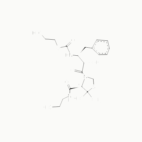 CCCNC(=O)[C@H]1N(C(=O)[C@@H](O)[C@H](Cc2ccccc2)NC(=O)OCCC)CSC1(C)C